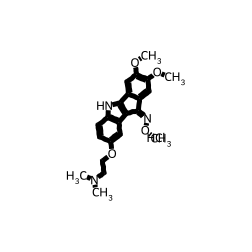 CO/N=C1/c2cc(OC)c(OC)cc2-c2[nH]c3ccc(OCCN(C)C)cc3c21.Cl